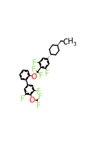 CC[C@H]1CC[C@H](c2cc(F)c(C(F)(F)Oc3ccccc3-c3cc(F)c(OC(F)F)c(F)c3)c(F)c2)CC1